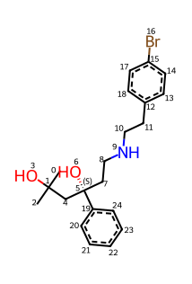 CC(C)(O)C[C@@](O)(CCNCCc1ccc(Br)cc1)c1ccccc1